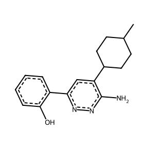 CC1CCC(c2cc(-c3ccccc3O)nnc2N)CC1